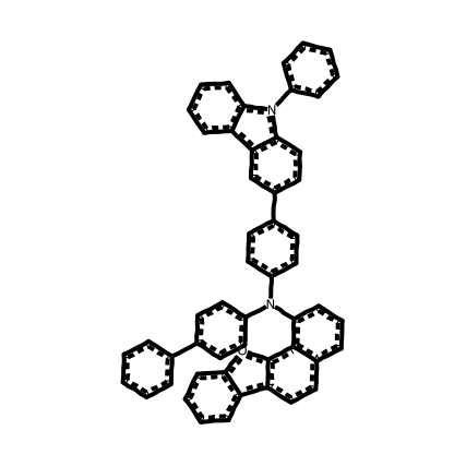 c1ccc(-c2ccc(N(c3ccc(-c4ccc5c(c4)c4ccccc4n5-c4ccccc4)cc3)c3cccc4ccc5c6ccccc6oc5c34)cc2)cc1